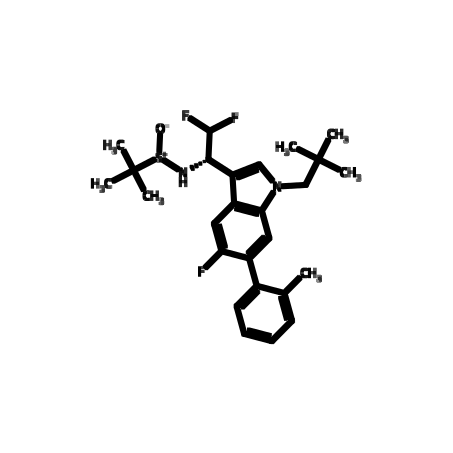 Cc1ccccc1-c1cc2c(cc1F)c([C@H](N[S+]([O-])C(C)(C)C)C(F)F)cn2CC(C)(C)C